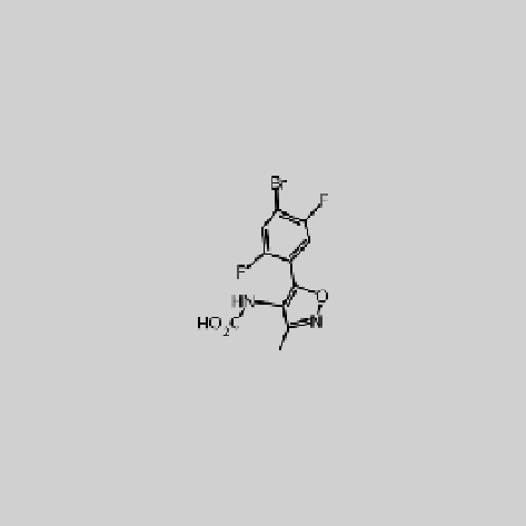 Cc1noc(-c2cc(F)c(Br)cc2F)c1NC(=O)O